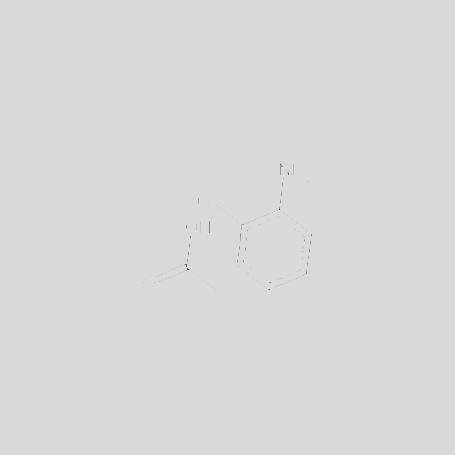 CC(=O)O.Nc1ccccc1Cl